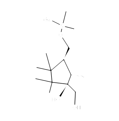 C[C@H]1[C@H](CO[Si](C)(C)C(C)(C)C)C(C)(C)C(C)(C)[C@@]1(O)CO